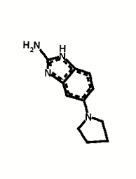 Nc1nc2cc(N3CCCC3)ccc2[nH]1